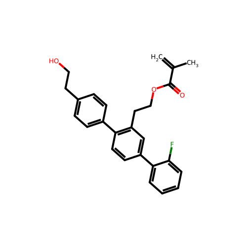 C=C(C)C(=O)OCCc1cc(-c2ccccc2F)ccc1-c1ccc(CCO)cc1